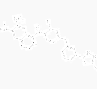 CNc1cc2ncnc(Nc3ccc(Cc4cccc(C5=NN=C(C)C5)c4)cc3F)c2cc1N